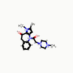 CCCc1cc2c(n1C)C(=O)Cc1ccccc1N2C(=O)CN1CCN(C)CC1